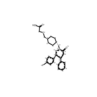 O=C(O)COC[C@H]1CC[C@H](Cn2nc(-c3ccc(F)cc3)c(-c3ccccc3)cc2=O)CC1